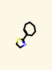 C1=C(C2=NCCS2)CCCCC1